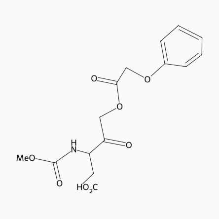 COC(=O)NC(CC(=O)O)C(=O)COC(=O)COc1ccccc1